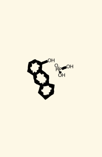 O=[PH](O)O.Oc1cccc2cc3ccccc3cc12